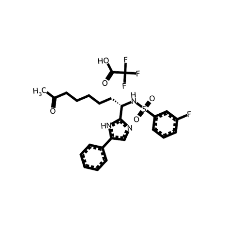 CC(=O)CCCCC[C@H](NS(=O)(=O)c1cccc(F)c1)c1ncc(-c2ccccc2)[nH]1.O=C(O)C(F)(F)F